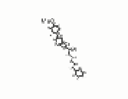 COc1ccc(-c2cnc3nc(C(O)CCCCCc4ccccc4)oc3c2)cc1